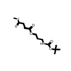 COC(=O)CCC(=O)OCCCNC(=O)OC(C)(C)C